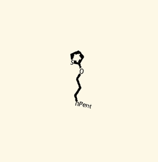 CCCCCCCCOc1cccs1